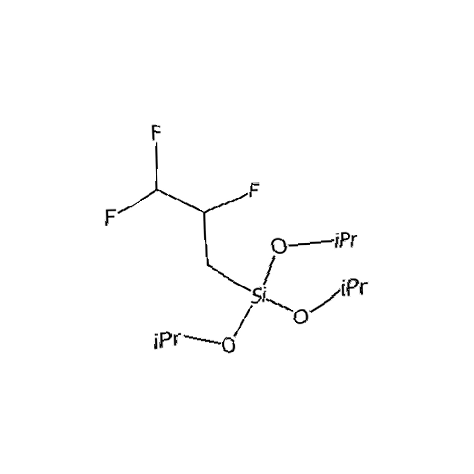 CC(C)O[Si](CC(F)C(F)F)(OC(C)C)OC(C)C